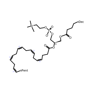 CCCCC/C=C\C/C=C\C/C=C\C/C=C\C/C=C\CCC(=O)O[C@H](COC(=O)CCCCCCCCCCCCC)COP(=O)([O-])OCC[N+](C)(C)C